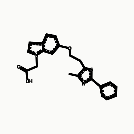 Cc1nc(-c2ccccc2)sc1CCOc1ccc2ccn(CC(=O)O)c2c1